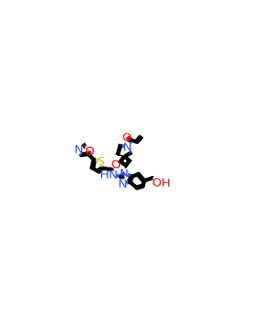 C=CC(=O)N1CC[C@]2(C1)C[C@@H](n1c(NC(=O)c3ccc(-c4cnco4)s3)nc3ccc(CO)cc31)C2